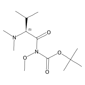 CON(C(=O)OC(C)(C)C)C(=O)[C@H](C(C)C)N(C)C